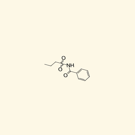 CCCS(=O)(=O)NC(=O)c1ccccc1